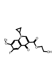 CCOc1cc2c(cc1F)c(=O)c(C(=O)OCCO)cn2C1CC1